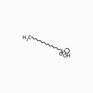 CCCCCCCCCCCCCCCC[S@@+]([O-])[C@@H]1CCCC[C@H]1O